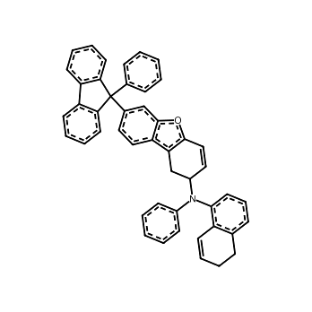 C1=Cc2c(cccc2N(c2ccccc2)C2C=Cc3oc4cc(C5(c6ccccc6)c6ccccc6-c6ccccc65)ccc4c3C2)CC1